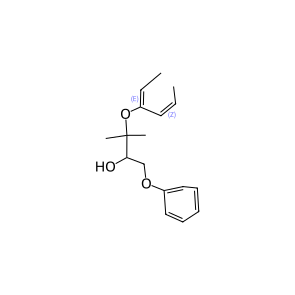 C/C=C\C(=C/C)OC(C)(C)C(O)COc1ccccc1